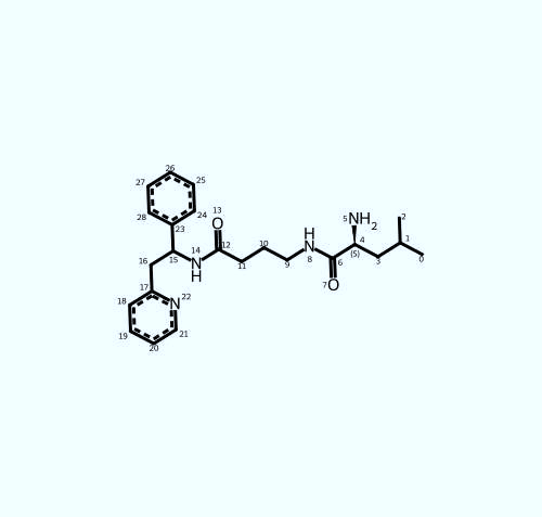 CC(C)C[C@H](N)C(=O)NCCCC(=O)NC(Cc1ccccn1)c1ccccc1